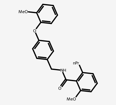 CCCc1cccc(OC)c1C(=O)NCc1ccc(Oc2ccccc2OC)cc1